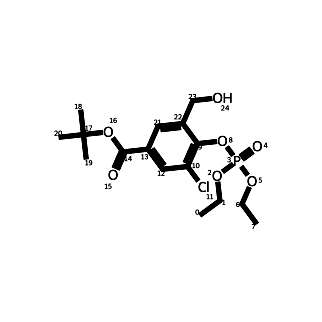 CCOP(=O)(OCC)Oc1c(Cl)cc(C(=O)OC(C)(C)C)cc1CO